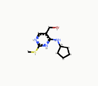 CSc1ncc(CBr)c(NC2CCCC2)n1